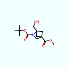 COC(=O)C12CN(C(=O)OC(C)(C)C)C(CO)(C1)C2